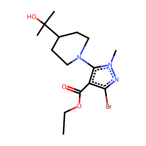 CCOC(=O)c1c(Br)nn(C)c1N1CCC(C(C)(C)O)CC1